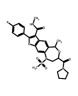 CNC(=O)c1c(-c2ccc(F)cc2)oc2cc3c(cc12)C(C)OC(C(=O)N1CCCC1)CN3S(C)(=O)=O